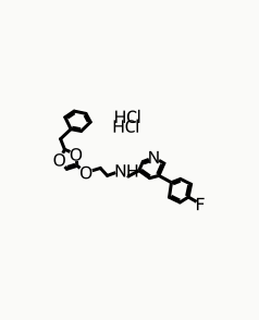 Cl.Cl.Fc1ccc(-c2cncc(CNCCOC3=COC(Cc4ccccc4)O3)c2)cc1